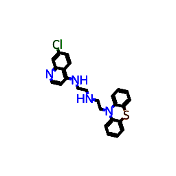 Clc1ccc2c(NCCNCCN3c4ccccc4Sc4ccccc43)ccnc2c1